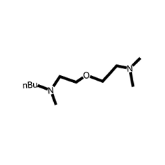 CCCCN(C)CCOCCN(C)C